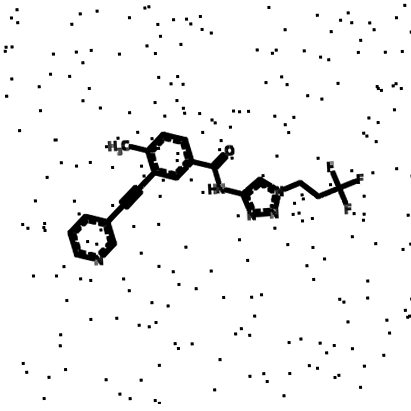 Cc1ccc(C(=O)Nc2cn(CCC(F)(F)F)nn2)cc1C#Cc1cccnc1